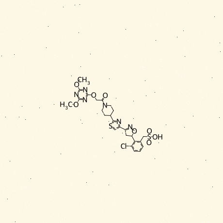 COc1nc(OC)nc(OCC(=O)N2CCC(c3nc(C4=NOC(c5c(Cl)cccc5CS(=O)(=O)O)C4)cs3)CC2)n1